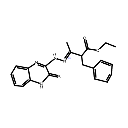 CCOC(=O)C(Cc1ccccc1)/C(C)=N/Nc1nc2ccccc2[nH]c1=S